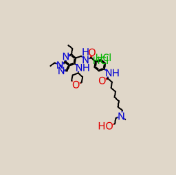 CCc1nc2c(cnn2CC)c(NC2CCOCC2)c1CNC(=O)c1ccc(NC(=O)CCCCCCCN(C)CCO)cc1.Cl.Cl